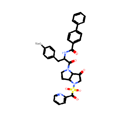 COc1ccc(CC(NC(=O)c2ccc(-c3ccccc3)cc2)C(=O)N2CCC3C2C(=O)CN3S(=O)(=O)C(=O)c2ccccn2)cc1